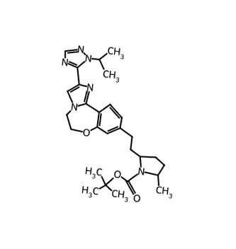 CC1CCC(CCc2ccc3c(c2)OCCn2cc(-c4ncnn4C(C)C)nc2-3)N1C(=O)OC(C)(C)C